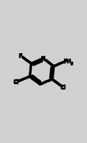 Fc1nc(P)c(Cl)cc1Cl